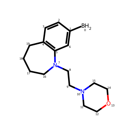 Bc1ccc2c(c1)N(CCN1CCOCC1)CCCC2